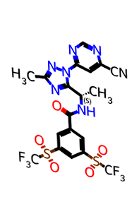 Cc1nc([C@H](C)NC(=O)c2cc(S(=O)(=O)C(F)(F)F)cc(S(=O)(=O)C(F)(F)F)c2)n(-c2cc(C#N)ncn2)n1